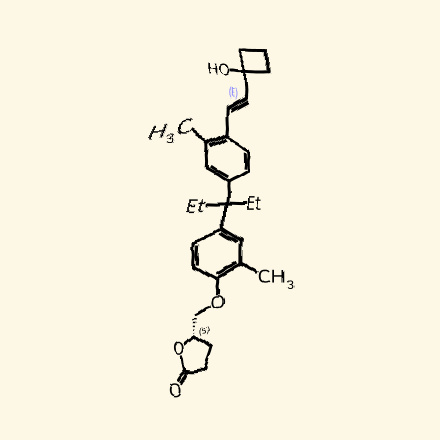 CCC(CC)(c1ccc(/C=C/C2(O)CCC2)c(C)c1)c1ccc(OC[C@@H]2CCC(=O)O2)c(C)c1